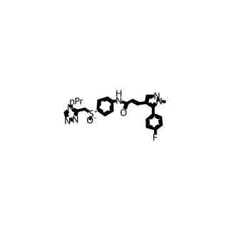 CCCn1cnnc1C[S+]([O-])c1ccc(NC(=O)C=Cc2cnn(C)c2-c2ccc(F)cc2)cc1